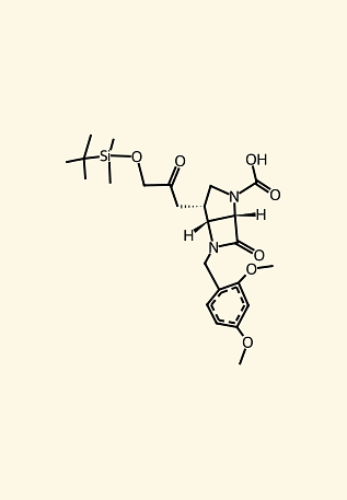 COc1ccc(CN2C(=O)[C@@H]3[C@H]2[C@H](CC(=O)CO[Si](C)(C)C(C)(C)C)CN3C(=O)O)c(OC)c1